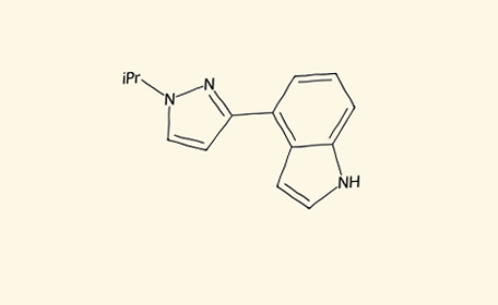 CC(C)n1ccc(-c2cccc3[nH]ccc23)n1